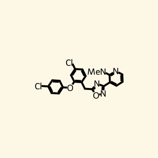 CNc1ncccc1-c1noc(Cc2ccc(Cl)cc2Oc2ccc(Cl)cc2)n1